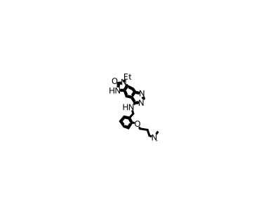 CCn1c(=O)[nH]c2cc3c(NCc4ccccc4OCCCN(C)C)ncnc3cc21